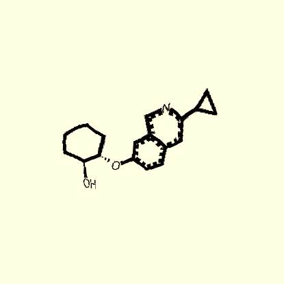 O[C@H]1CCCC[C@@H]1Oc1ccc2cc(C3CC3)ncc2c1